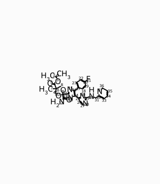 CC(C)OC(=O)C1(C)COC(C(N)=O)(c2nc(-c3ccc(F)cc3)c(-c3ccnc(NCc4ccccn4)n3)[nH]2)OC1